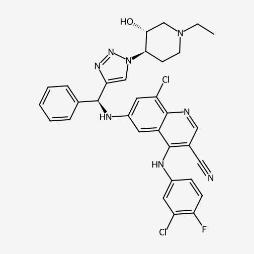 CCN1CC[C@@H](n2cc([C@@H](Nc3cc(Cl)c4ncc(C#N)c(Nc5ccc(F)c(Cl)c5)c4c3)c3ccccc3)nn2)[C@H](O)C1